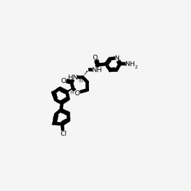 Nc1ccc(C(=O)NC[C@@H]2CCO[C@@H](c3cccc(-c4ccc(Cl)cc4)c3)C(=O)N2)cn1